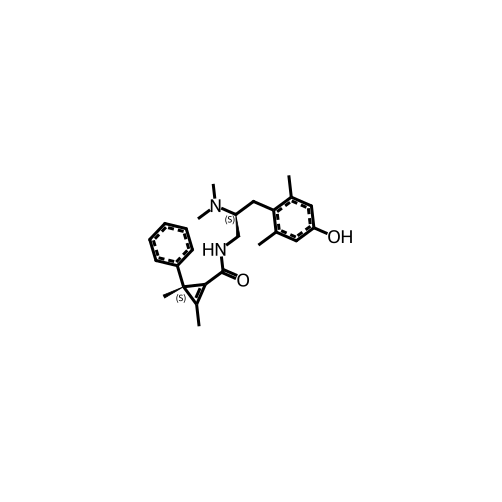 CC1=C(C(=O)NC[C@H](Cc2c(C)cc(O)cc2C)N(C)C)[C@@]1(C)c1ccccc1